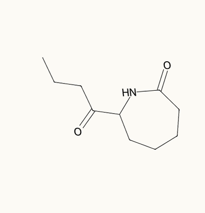 CCCC(=O)C1CCCCC(=O)N1